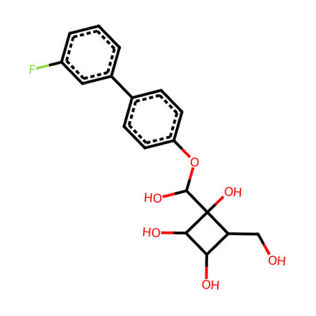 OCC1C(O)C(O)C1(O)C(O)Oc1ccc(-c2cccc(F)c2)cc1